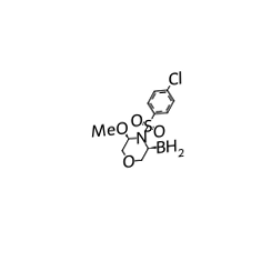 B[C@H]1COC[C@@H](OC)N1S(=O)(=O)c1ccc(Cl)cc1